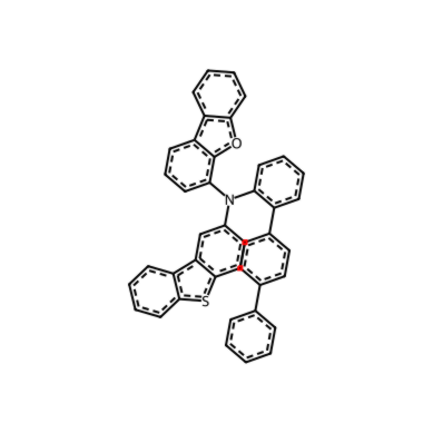 c1ccc(-c2ccc(-c3ccccc3N(c3ccc4sc5ccccc5c4c3)c3cccc4c3oc3ccccc34)cc2)cc1